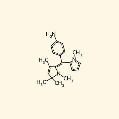 CC1=CC(C)(C)N(C)/C1=C(/c1ccc(N)cc1)c1cccn1C